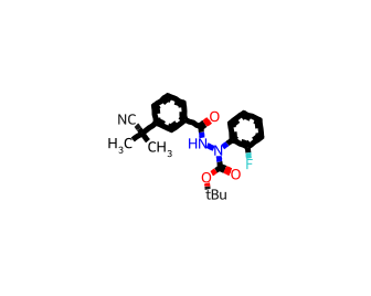 CC(C)(C)OC(=O)N(NC(=O)c1cccc(C(C)(C)C#N)c1)c1ccccc1F